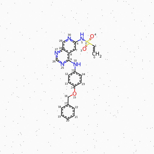 C=CS(=O)(=O)Nc1cc2c(Nc3ccc(OCc4ccccc4)cc3)ncnc2cn1